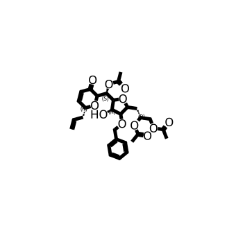 C=CC[C@@H]1C=CC(=O)C([C@@H](OC(C)=O)C2OC(C[C@H](COC(C)=O)OC(C)=O)C(OCc3ccccc3)[C@H]2O)O1